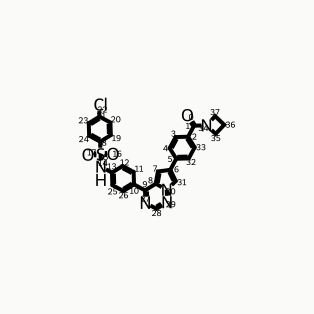 O=C(c1ccc(-c2cc3c(-c4ccc(NS(=O)(=O)c5ccc(Cl)cc5)cc4)ncnn3c2)cc1)N1CCC1